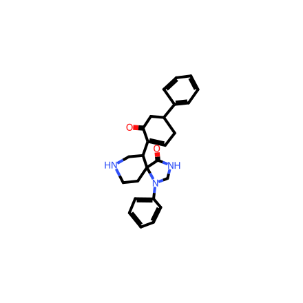 O=C1CC(c2ccccc2)CC=C1C1CNCCC12C(=O)NCN2c1ccccc1